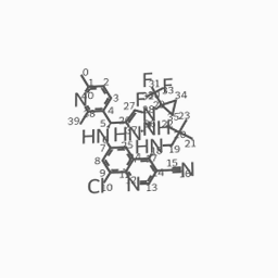 Cc1ccc([C@H](Nc2cc(Cl)c3ncc(C#N)c(NCC(C)(C)C)c3c2)C2=CN(C3(C(F)(F)F)CC3)NN2)c(C)n1